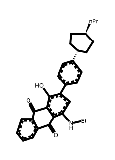 CCC[C@H]1CC[C@H](c2ccc(-c3cc(NCC)c4c(c3O)C(=O)c3ccccc3C4=O)cc2)CC1